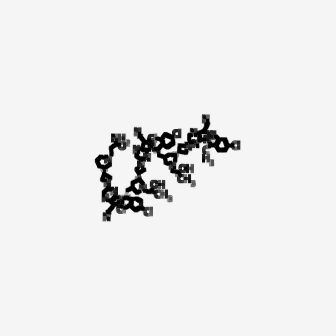 C[C@H](O)CN1CC(C[C@H](c2ccc(Cl)cc2Cl)n2nc(C#N)c3ncc(N4CC([C@H]5CCCN(CCC(N)=O)C5)C4)nc32)C[C@@H](C2CN(c3cnc4c(C#N)nn([C@H](CC5C[C@H](C6CN(c7cnc8c(C#N)nn([C@H](C)c9ccc(Cl)cc9Cl)c8n7)C6)CN(C[C@H](C)O)C5)c5ccc(Cl)cc5Cl)c4n3)C2)C1